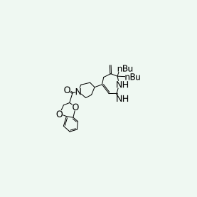 C=C1CC(C2CCN(C(=O)C3COc4ccccc4O3)CC2)=CC(=N)NC1(CCCC)CCCC